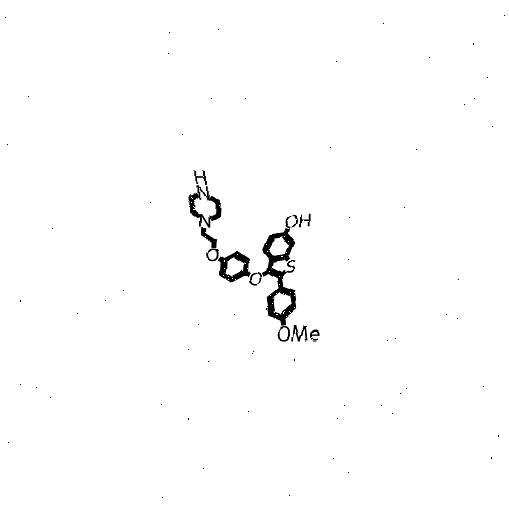 COc1ccc(-c2sc3cc(O)ccc3c2Oc2ccc(OCCN3CCNCC3)cc2)cc1